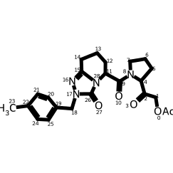 CC(=O)OCC(=O)C1CCCN1C(=O)C1CCCc2nn(Cc3ccc(C)cc3)c(=O)n21